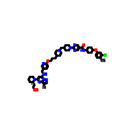 CCc1cnn2c(NCc3ccc(OCCCC4CCN(CC5CCN(c6ncc(C(=O)NC7CCC(Oc8ccc(C#N)c(Cl)c8)CC7)cn6)CC5)CC4)nc3)cc(N3CCCC[C@H]3CCO)nc12